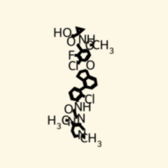 COc1cc(OC2CCc3c(-c4cccc(NC(=O)c5nc6c(n5C)CCN(C)C6)c4Cl)cccc32)c(Cl)c(F)c1CNC1(C(=O)O)CC1